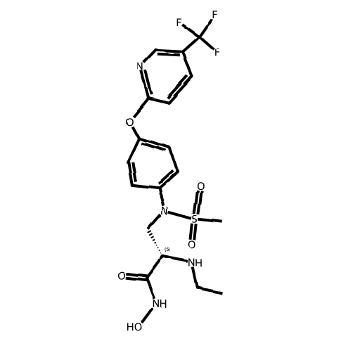 CCN[C@@H](CN(c1ccc(Oc2ccc(C(F)(F)F)cn2)cc1)S(C)(=O)=O)C(=O)NO